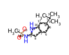 CC(C)(C)c1ccc2cc(NS(C)(=O)=O)[nH]c2c1